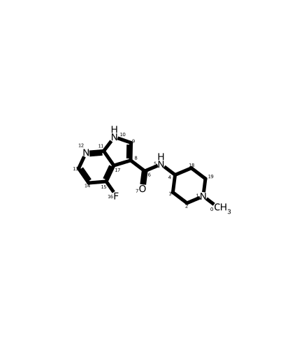 CN1CCC(NC(=O)c2c[nH]c3nccc(F)c23)CC1